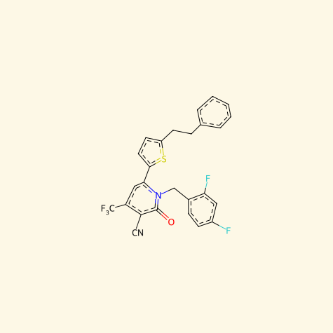 N#Cc1c(C(F)(F)F)cc(-c2ccc(CCc3ccccc3)s2)n(Cc2ccc(F)cc2F)c1=O